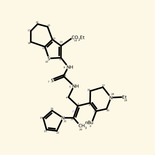 CCCCC1=C(/C(CNC(=S)Nc2sc3c(c2C(=O)OCC)CCCC3)=C(\C)n2cccc2)CCN(CC)C1